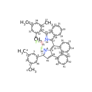 Cc1cc(C)cc(C2=N/C(=C(/c3ccccc3)c3c4ccccc4c(-c4c(C)cc(C)cc4C)n3B(F)F)C(c3ccccc3)=C2)c1